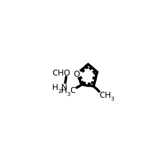 Cc1ccoc1C.NC=O